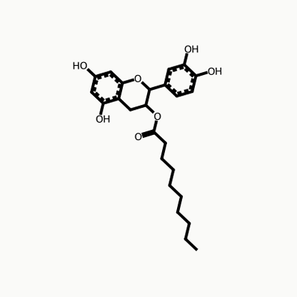 CCCCCCCCCC(=O)OC1Cc2c(O)cc(O)cc2OC1c1ccc(O)c(O)c1